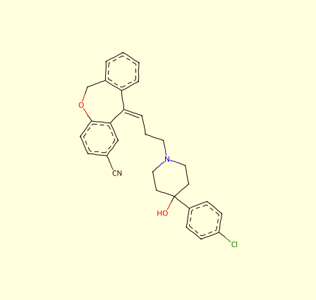 N#Cc1ccc2c(c1)/C(=C\CCN1CCC(O)(c3ccc(Cl)cc3)CC1)c1ccccc1CO2